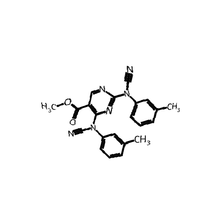 COC(=O)c1cnc(N(C#N)c2cccc(C)c2)nc1N(C#N)c1cccc(C)c1